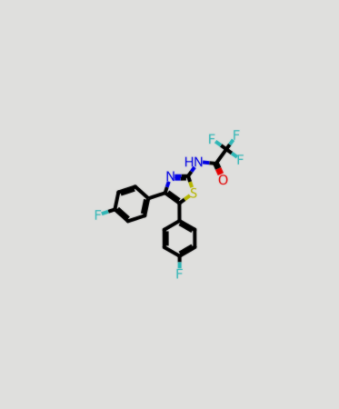 O=C(Nc1nc(-c2ccc(F)cc2)c(-c2ccc(F)cc2)s1)C(F)(F)F